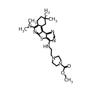 CCOC(=O)N1CCN(CCNc2ncnc3c2sc2nc(N(C)C)c4c(c23)CC(C)(C)CC4)CC1